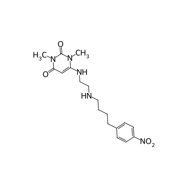 Cn1c(NCCNCCCCc2ccc([N+](=O)[O-])cc2)cc(=O)n(C)c1=O